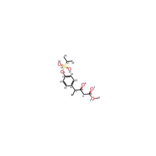 COC(=O)CC(=O)C(C)c1ccc(OS(=O)(=O)C(C)C)cc1